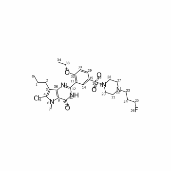 CCCc1c(Cl)n(C)c2c(=O)[nH]c(-c3cc(S(=O)(=O)N4CCN(CCCF)CC4)ccc3OCC)nc12